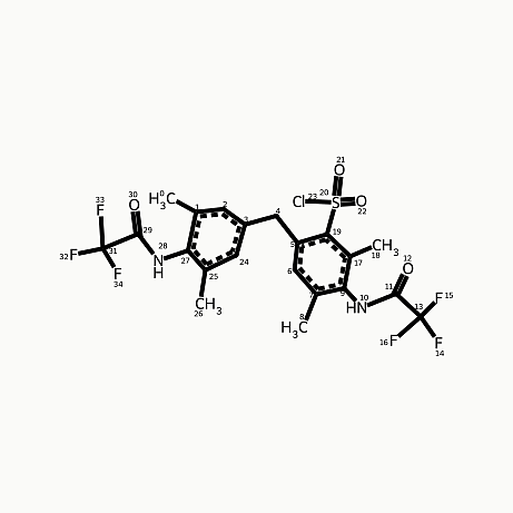 Cc1cc(Cc2cc(C)c(NC(=O)C(F)(F)F)c(C)c2S(=O)(=O)Cl)cc(C)c1NC(=O)C(F)(F)F